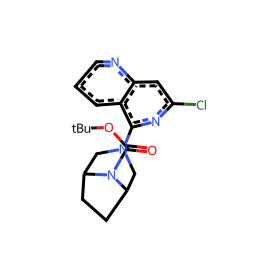 CC(C)(C)OC(=O)N1C2CCC1CN(c1nc(Cl)cc3ncccc13)C2